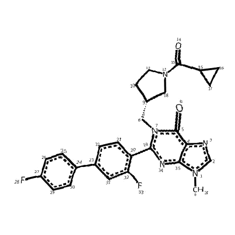 Cn1cnc2c(=O)n(C[C@@H]3CCN(C(=O)C4CC4)C3)c(-c3ccc(-c4ccc(F)cc4)cc3F)nc21